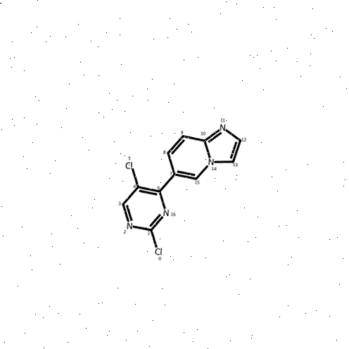 Clc1ncc(Cl)c(-c2ccc3nccn3c2)n1